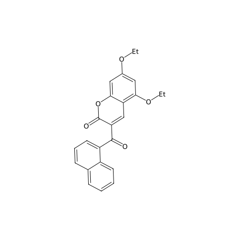 CCOc1cc(OCC)c2cc(C(=O)c3cccc4ccccc34)c(=O)oc2c1